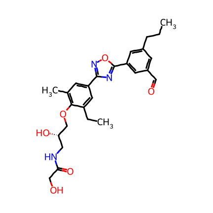 CCCc1cc(C=O)cc(-c2nc(-c3cc(C)c(OC[C@@H](O)CNC(=O)CO)c(CC)c3)no2)c1